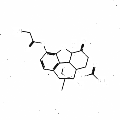 CN1CC[C@]23c4c5ccc(OC(=O)CN)c4O[C@H]2C(=O)CC[C@@]3(OC(N)=O)[C@H]1C5